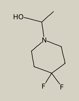 CC(O)N1CCC(F)(F)CC1